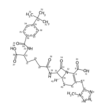 Cn1nnnc1SC1=C(C(=O)O)N2C(=O)C(NC(=O)CCCC(NC(=O)c3ccc(C(C)(C)C)cc3)C(=O)O)[C@@H]2SC1